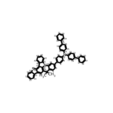 CC1(C)c2ccc(-c3ccc(N(c4ccc(-c5ccccc5)cc4)c4ccc(-c5ccccc5)cc4)cc3)cc2-n2c3ccccc3c3c4sc5ccccc5c4cc1c32